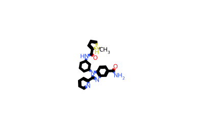 C[SH]1C=CC=C1C(=O)NC1CCCC(n2c(-c3ccccn3)nc3cc(C(N)=O)ccc32)C1